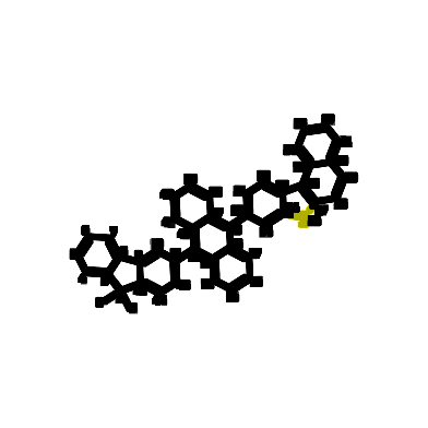 CC1(C)c2ccccc2-c2cc(-c3c4ccccc4c(-c4ccc5c(c4)sc4ccc6ccccc6c45)c4ccccc34)ccc21